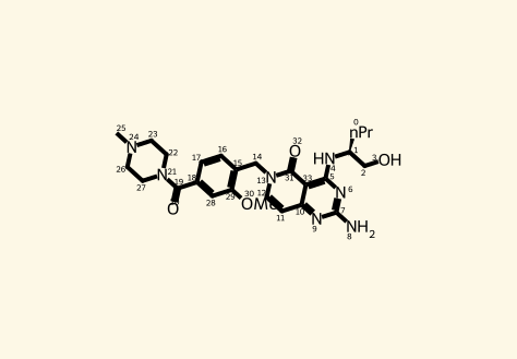 CCC[C@@H](CO)Nc1nc(N)nc2ccn(Cc3ccc(C(=O)N4CCN(C)CC4)cc3OC)c(=O)c12